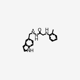 Cc1ccccc1NCC(=O)NN(C)Cc1ccc2[nH]ccc2c1